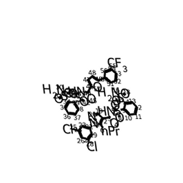 CCCc1c(C(=O)NS(=O)(=O)c2ccccc2S(N)(=O)=O)cnn1-c1cc(Cl)cc(Cl)c1.NS(=O)(=O)c1ccccc1S(=O)(=O)NC(=O)c1ccc(-c2cccc(C(F)(F)F)c2)o1